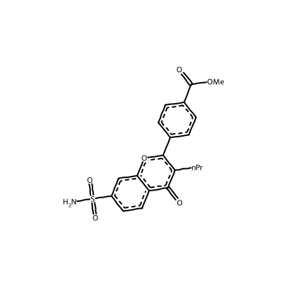 CCCc1c(-c2ccc(C(=O)OC)cc2)oc2cc(S(N)(=O)=O)ccc2c1=O